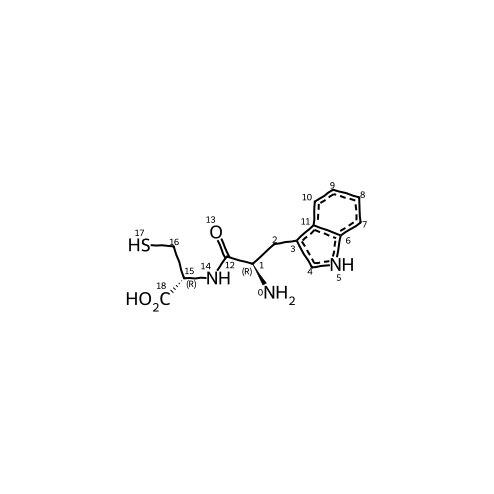 N[C@H](Cc1c[nH]c2ccccc12)C(=O)N[C@@H](CS)C(=O)O